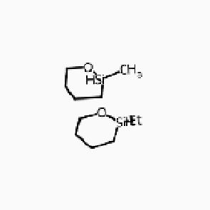 CC[SiH]1CCCCO1.C[SiH]1CCCCO1